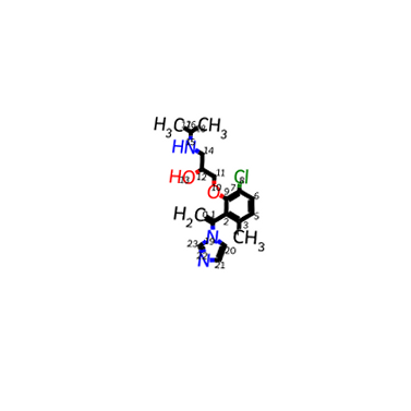 C=C(c1c(C)ccc(Cl)c1OCC(O)CNC(C)C)n1ccnc1